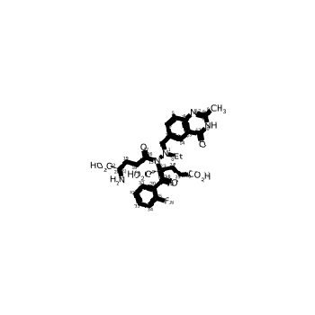 CCN(Cc1ccc2nc(C)[nH]c(=O)c2c1)N(C(=O)CC[C@H](N)C(=O)O)[C@](CCC(=O)O)(C(=O)O)C(=O)c1ccccc1F